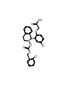 O=C(O)COc1ccc(Cl)cc1[C@@H]1c2ccccc2CCN1OC(=O)OCc1ccccc1Cl